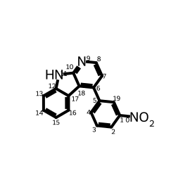 O=[N+]([O-])c1cccc(-c2ccnc3[nH]c4ccccc4c23)c1